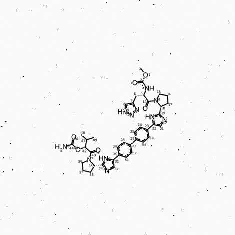 COC(=O)N[C@@H](Cc1c[nH]nn1)C(=O)N1CCC[C@H]1c1ncc(-c2ccc(-c3ccc(-c4cnc([C@@H]5CCCN5C(=O)[C@@H](OC(N)=O)C(C)C)[nH]4)cc3)cc2)[nH]1